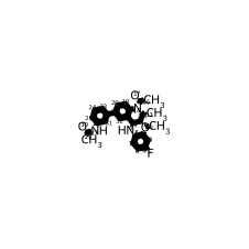 COc1cc(F)ccc1N[C@@H]1C[C@H](C)N(C(C)=O)c2ccc(-c3cccc(NC(C)=O)c3)cc21